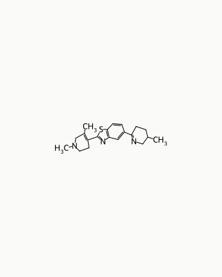 CC1=C(c2nc3cc(C4=NCC(C)CC4)ccc3s2)CCN(C)C1